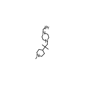 CC(C)CN1CCN(CC(C)(C)C2CCN(C)CC2)CC1